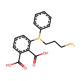 O=C(O)c1cccc(P(CCCP)c2ccccc2)c1C(=O)O